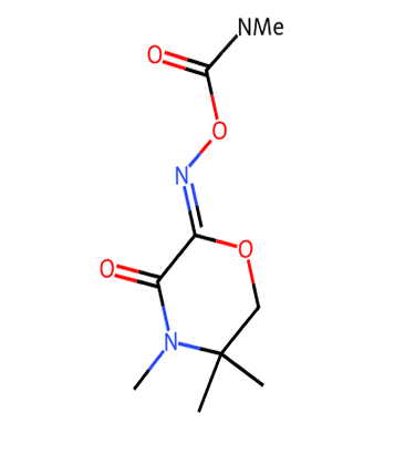 CNC(=O)ON=C1OCC(C)(C)N(C)C1=O